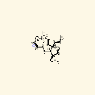 C=C1COC(CCC)(CCF)C1CC/C=C\C